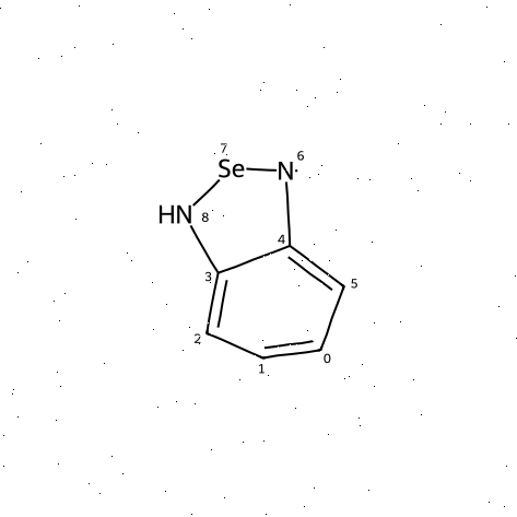 c1ccc2c(c1)[N][Se]N2